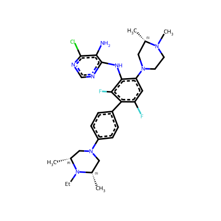 CCN1[C@H](C)CN(c2ccc(-c3c(F)cc(N4CCN(C)[C@@H](C)C4)c(Nc4ncnc(Cl)c4N)c3F)cc2)C[C@@H]1C